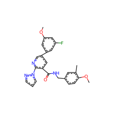 COc1cc(F)cc(-c2cnc(-n3cccn3)c(C(=O)NCc3ccc(OC)c(C)c3)c2)c1